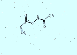 C=CC(=O)ONC(C)=O